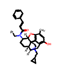 CC(=O)Oc1cc(O)c2c3c1O[C@H]1[C@H](N(CC(C)C)C(=O)C=Cc4ccccc4)CC[C@H]4[C@@H](C2)N(CC2CC2)CC[C@@]341